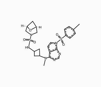 Cc1ccc(S(=O)(=O)n2ccc3c(N(C)C4CC(NS(=O)(=O)N5C[C@H]6C[C@@H](C5)O6)C4)ncnc32)cc1